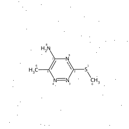 CSc1nnc(C)c(N)n1